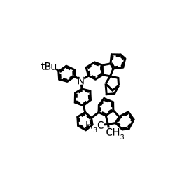 CC(C)(C)c1ccc(N(c2ccc(-c3ccccc3-c3cccc4c3C(C)(C)c3ccccc3-4)cc2)c2ccc3c(c2)C2(CC4CCC2C4)c2ccccc2-3)cc1